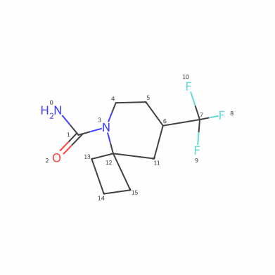 NC(=O)N1CCC(C(F)(F)F)CC12CCC2